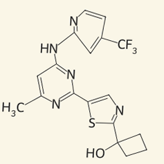 Cc1cc(Nc2cc(C(F)(F)F)ccn2)nc(-c2cnc(C3(O)CCC3)s2)n1